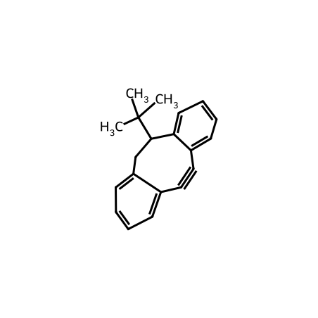 CC(C)(C)C1Cc2ccccc2C#Cc2ccccc21